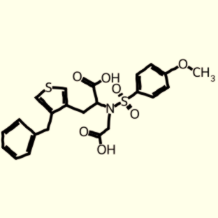 COc1ccc(S(=O)(=O)N(CC(=O)O)C(Cc2cscc2Cc2ccccc2)C(=O)O)cc1